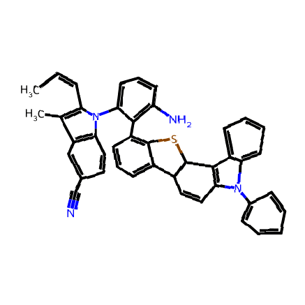 C/C=C\c1c(C)c2cc(C#N)ccc2n1-c1cccc(N)c1-c1cccc2c1SC1c3c(n(-c4ccccc4)c4ccccc34)C=CC21